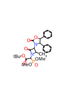 COP(=O)(OC)C(C(=O)OC(C)(C)C)N1C(=O)C(N2C(=O)OC(c3ccccc3)C2c2ccccc2)C1C